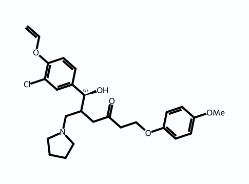 C=COc1ccc([C@@H](O)C(CC(=O)CCOc2ccc(OC)cc2)CN2CCCC2)cc1Cl